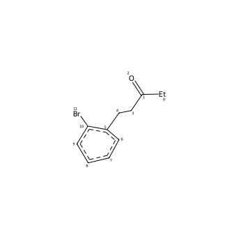 CCC(=O)CCc1ccccc1Br